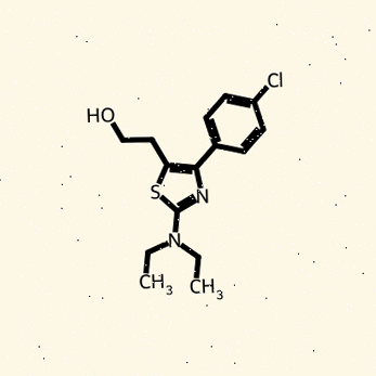 CCN(CC)c1nc(-c2ccc(Cl)cc2)c(CCO)s1